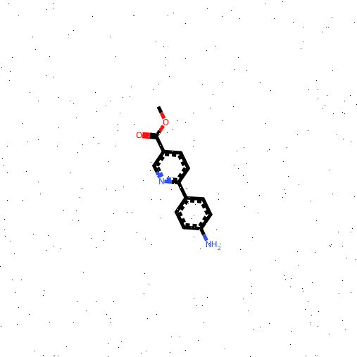 COC(=O)c1ccc(-c2ccc(N)cc2)nc1